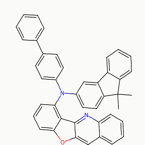 CC1(C)c2ccccc2-c2cc(N(c3ccc(-c4ccccc4)cc3)c3cccc4oc5cc6ccccc6nc5c34)ccc21